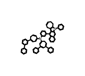 C1=CCc2c(n(-c3ccccc3)c3cc4ccccc4c(-c4cccc(N(C5=CC=C(c6cccc(-c7ccccc7)c6)CC=C5)C5=CC(c6ccccc6)=CC(c6ccccc6)=CC5)c4)c23)CC1